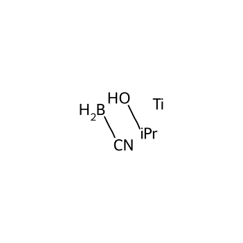 BC#N.CC(C)O.[Ti]